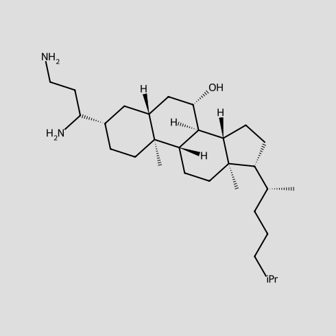 CC(C)CCC[C@@H](C)[C@H]1CC[C@H]2[C@@H]3[C@@H](O)C[C@H]4C[C@@H](C(N)CCN)CC[C@]4(C)[C@H]3CC[C@]12C